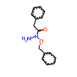 NN(OCc1ccccc1)C(=O)Cc1ccccc1